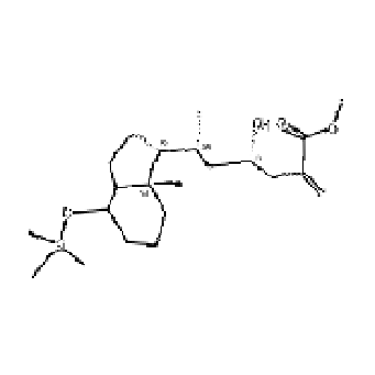 C=C(C[C@@H](O)C[C@@H](C)[C@H]1CCC2C(O[Si](C)(C)C)CCC[C@]21C)C(=O)OC